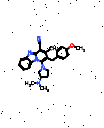 COc1ccc(Cc2c(C)c(C#N)c3nc4ccccc4n3c2N2CC[C@H](N(C)C)C2)cc1